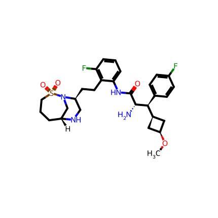 CO[C@H]1C[C@@H]([C@H](c2ccc(F)cc2)[C@H](N)C(=O)Nc2cccc(F)c2CC[C@H]2CN[C@@H]3CCCS(=O)(=O)N2C3)C1